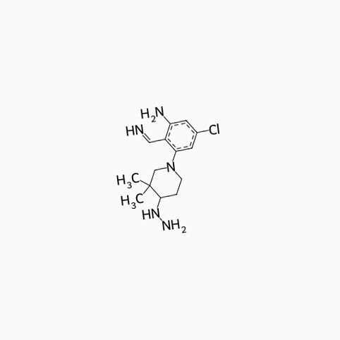 CC1(C)CN(c2cc(Cl)cc(N)c2C=N)CCC1NN